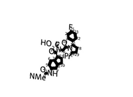 CNC(=O)Nc1ccc2c(c1)CC[C@@H]2C(=O)N(CC(=O)N1[C@H](c2ccc(F)cc2)CC[C@H]1C(C)C)C(=O)O